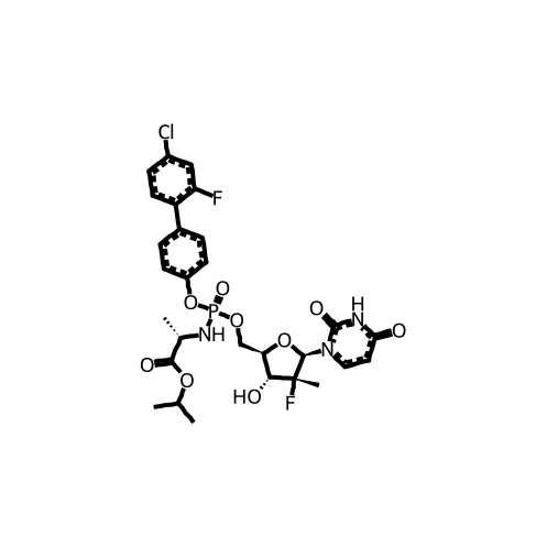 CC(C)OC(=O)[C@H](C)NP(=O)(OC[C@H]1O[C@@H](n2ccc(=O)[nH]c2=O)[C@](C)(F)[C@@H]1O)Oc1ccc(-c2ccc(Cl)cc2F)cc1